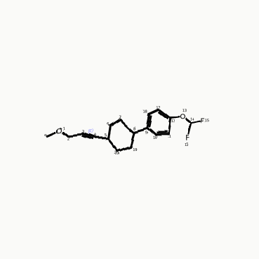 COC/C=C/C1CCC(c2ccc(OC(F)F)cc2)CC1